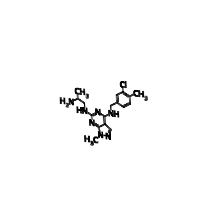 Cc1ccc(CNc2nc(NCC(C)N)nc3c2cnn3C)cc1Cl